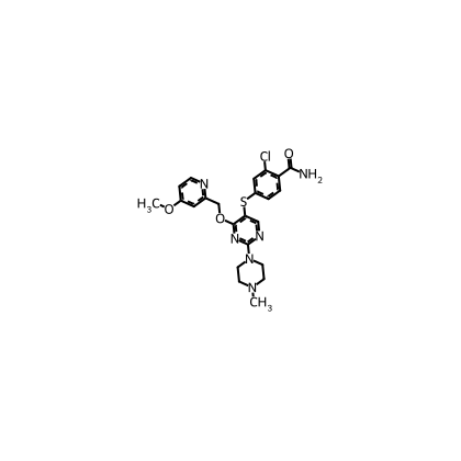 COc1ccnc(COc2nc(N3CCN(C)CC3)ncc2Sc2ccc(C(N)=O)c(Cl)c2)c1